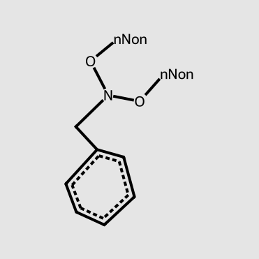 CCCCCCCCCON(Cc1ccccc1)OCCCCCCCCC